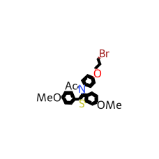 COc1ccc(-c2sc3cc(OC)ccc3c2N(C(C)=O)c2ccc(OCCCBr)cc2)cc1